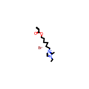 C=CC(=O)OCCCCCC[n+]1ccn(CC)c1C.[Br-]